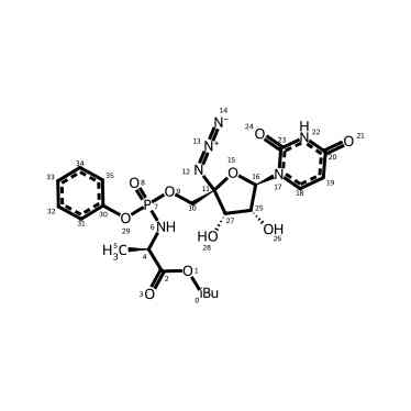 CCC(C)OC(=O)[C@@H](C)NP(=O)(OC[C@@]1(N=[N+]=[N-])O[C@@H](n2ccc(=O)[nH]c2=O)[C@H](O)[C@@H]1O)Oc1ccccc1